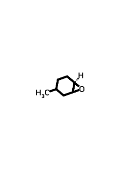 CC1CC[C@H]2OC2C1